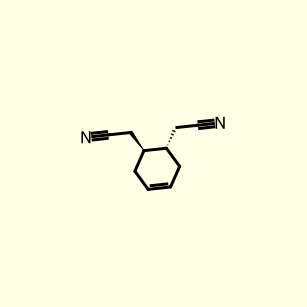 N#CC[C@@H]1CC=CC[C@H]1CC#N